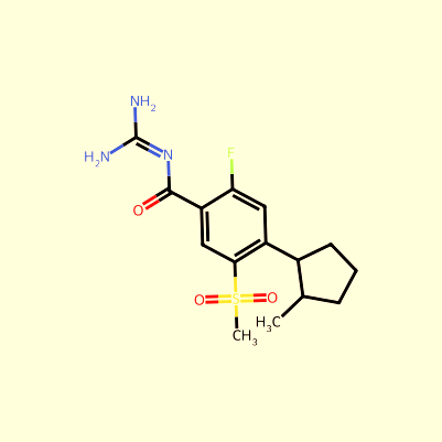 CC1CCCC1c1cc(F)c(C(=O)N=C(N)N)cc1S(C)(=O)=O